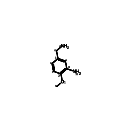 COc1ccc(CN)cc1N